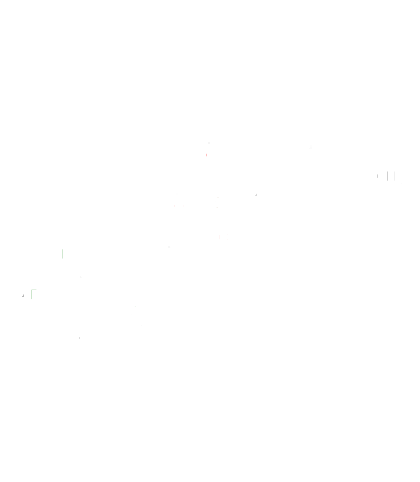 Cc1ccc(S(=O)(=O)OCCC(Cl)C(F)(F)F)cc1